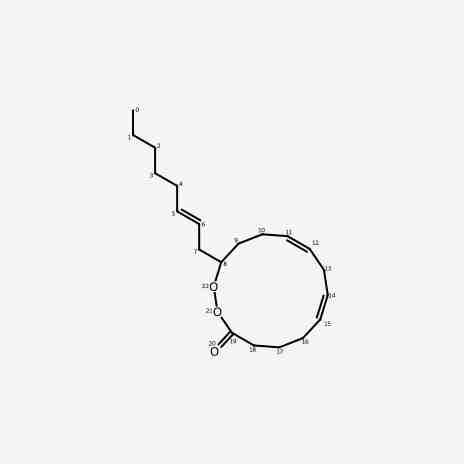 CCCCCC=CCC1CCC=CCC=CCCCC(=O)OO1